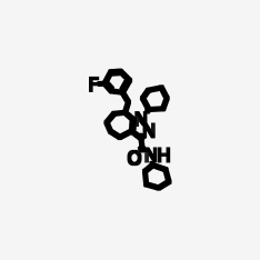 O=C(NC1CCCCC1)c1nn(C2CCCCC2)c2c1CCCCC2Cc1cccc(F)c1